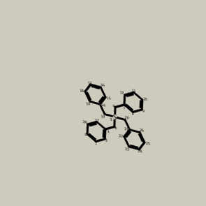 c1ccc(CS(Cc2ccccc2)(Cc2ccccc2)Cc2ccccc2)cc1